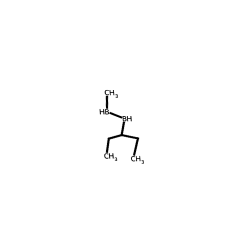 CBBC(CC)CC